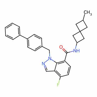 CC1CC2(C1)CC(NC(=O)c1ccc(F)c3cnn(Cc4ccc(-c5ccccc5)cc4)c13)C2